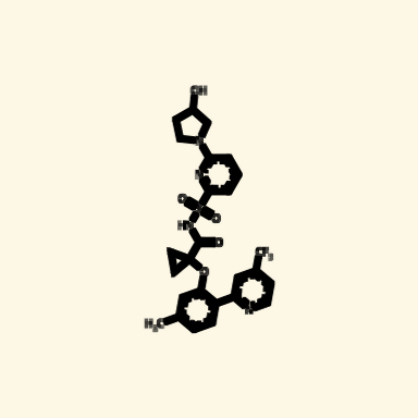 Cc1ccc(-c2cc(C(F)(F)F)ccn2)c(OC2(C(=O)NS(=O)(=O)c3cccc(N4CCC(O)C4)n3)CC2)c1